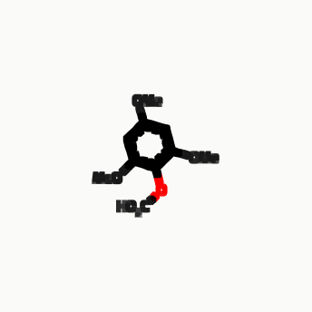 COc1cc(OC)c(OC(=O)O)c(OC)c1